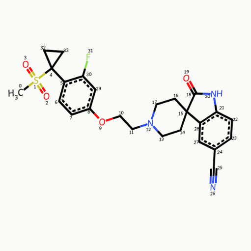 CS(=O)(=O)C1(c2ccc(OCCN3CCC4(CC3)C(=O)Nc3ccc(C#N)cc34)cc2F)CC1